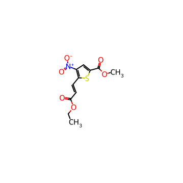 CCOC(=O)/C=C/c1sc(C(=O)OC)cc1[N+](=O)[O-]